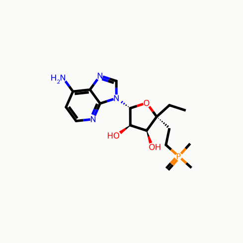 C=P(C)(C)CC[C@@]1(CC)O[C@@H](n2cnc3c(N)ccnc32)[C@H](O)[C@@H]1O